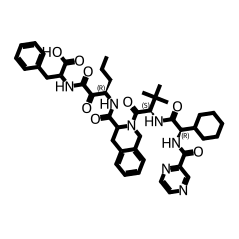 CCC[C@@H](NC(=O)C1Cc2ccccc2CN1C(=O)[C@@H](NC(=O)[C@H](NC(=O)c1cnccn1)C1CCCCC1)C(C)(C)C)C(=O)C(=O)NC(Cc1ccccc1)C(=O)O